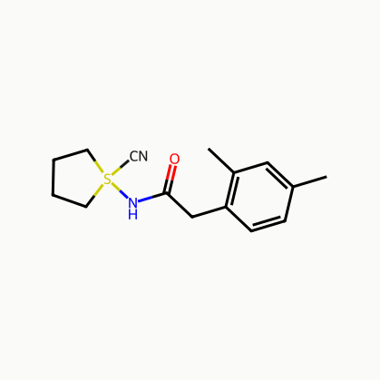 Cc1ccc(CC(=O)NS2(C#N)CCCC2)c(C)c1